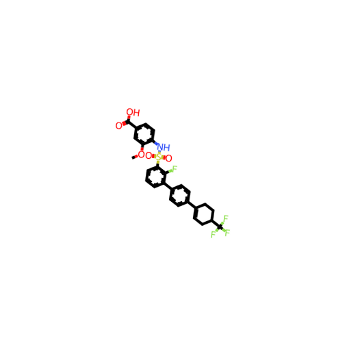 COc1cc(C(=O)O)ccc1NS(=O)(=O)c1cccc(-c2ccc(C3=CCC(C(F)(F)F)CC3)cc2)c1F